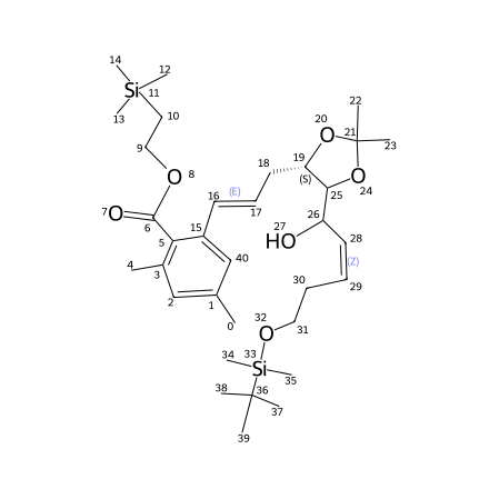 Cc1cc(C)c(C(=O)OCC[Si](C)(C)C)c(/C=C/C[C@@H]2OC(C)(C)OC2C(O)/C=C\CCO[Si](C)(C)C(C)(C)C)c1